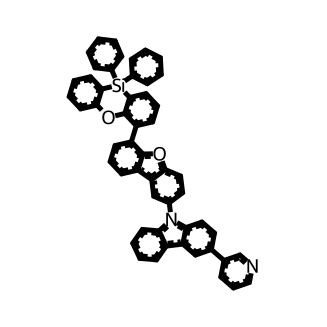 c1ccc([Si]2(c3ccccc3)c3ccccc3Oc3c(-c4cccc5c4oc4ccc(-n6c7ccccc7c7cc(-c8cccnc8)ccc76)cc45)cccc32)cc1